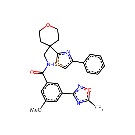 COc1cc(C(=O)NCC2(c3nc(-c4ccccc4)cs3)CCOCC2)cc(-c2noc(C(F)(F)F)n2)c1